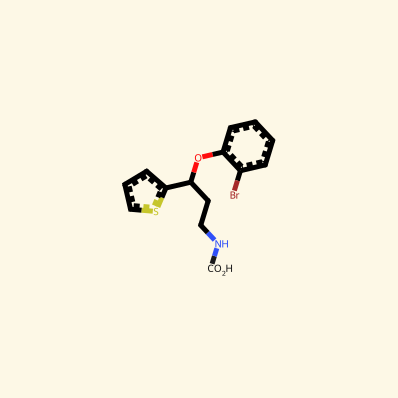 O=C(O)NCCC(Oc1ccccc1Br)c1cccs1